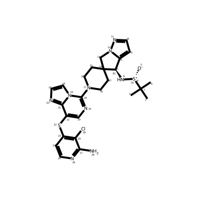 CC(C)(C)[S@@+]([O-])N[C@@H]1c2ccnn2CC12CCN(c1ncc(Sc3ccnc(N)c3Cl)c3nccn13)CC2